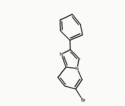 Brc1ccc2nc(-c3ccccc3)[c]n2c1